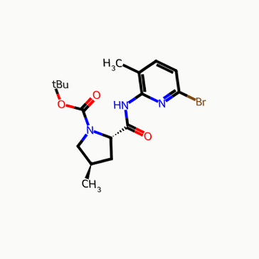 Cc1ccc(Br)nc1NC(=O)[C@@H]1C[C@@H](C)CN1C(=O)OC(C)(C)C